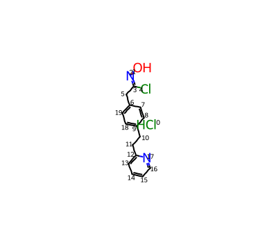 Cl.O/N=C(\Cl)Cc1ccc(CCc2ccccn2)cc1